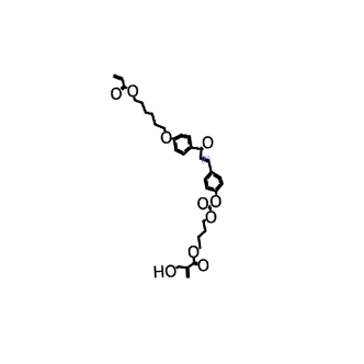 C=CC(=O)OCCCCCCOc1ccc(C(=O)/C=C/c2ccc(OC(=O)OCCCCOC(=O)C(=C)CO)cc2)cc1